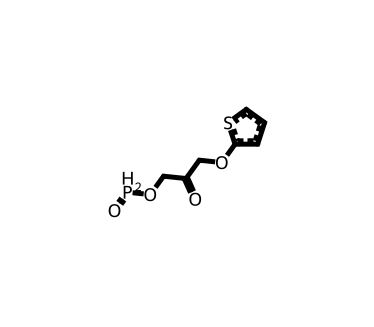 O=[PH2]OCC(=O)COc1cccs1